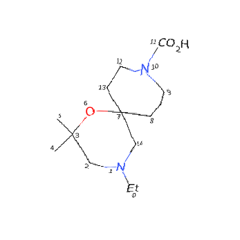 CCN1CC(C)(C)OC2(CCN(C(=O)O)CC2)C1